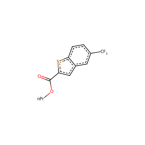 CCCOC(=O)c1cc2cc(C(F)(F)F)ccc2s1